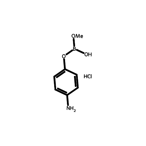 COB(O)Oc1ccc(N)cc1.Cl